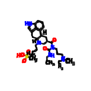 C=CCN1C[C@H](C(=O)N(CCCN(C)C)C(=O)NCC)C[C@@H]2c3cccc4[nH]cc(c34)C[C@H]21.CS(=O)(=O)O